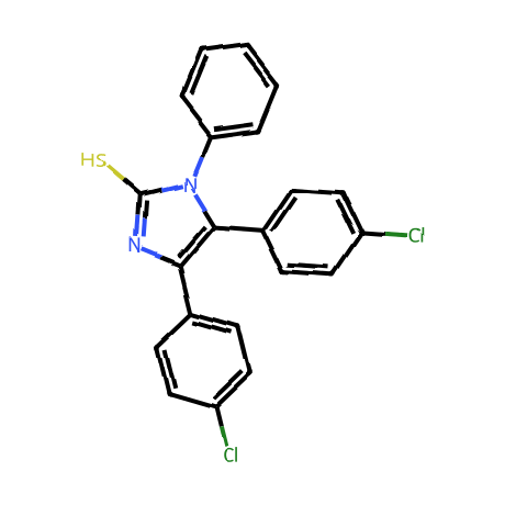 Sc1nc(-c2ccc(Cl)cc2)c(-c2ccc(Cl)cc2)n1-c1ccccc1